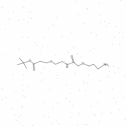 CC(C)(C)OC(=O)CCOCCNC(=O)COCCCN